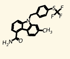 Cc1c[c]c2c3c(C(N)=O)cccc3n(Cc3ccc(SC(F)(F)F)cc3)c2c1